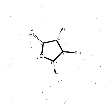 CC[C@H]1O[C@@H](C)C(F)[C@H]1C